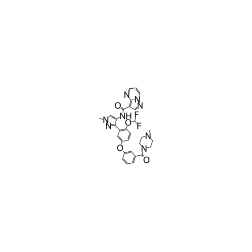 CN1CCN(C(=O)c2cccc(Oc3ccc(OC(F)F)c(-c4nn(C)cc4NC(=O)c4cnn5cccnc45)c3)c2)CC1